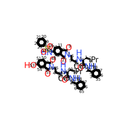 CC(C)C[C@H](N[C@H](CCN1C(=O)c2ccc(NS(=O)(=O)c3ccccc3)cc2C1=O)C(=O)O)C(=O)NCc1ccccc1.CC(C)C[C@H](N[C@H](CCN1C(=O)c2ccc(O)cc2C1=O)C(=O)O)C(=O)NCc1ccccc1